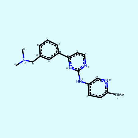 COc1ccc(Nc2nccc(-c3cccc(CN(C)C)c3)n2)cn1